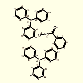 O=[C]([Pd][Cl])c1ccccc1.c1ccc(P(c2ccccc2)c2ccccc2)cc1.c1ccc(P(c2ccccc2)c2ccccc2)cc1